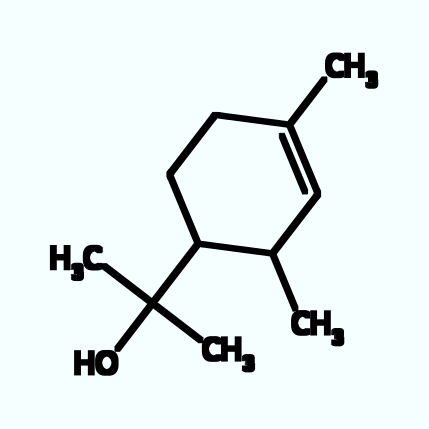 CC1=CC(C)C(C(C)(C)O)CC1